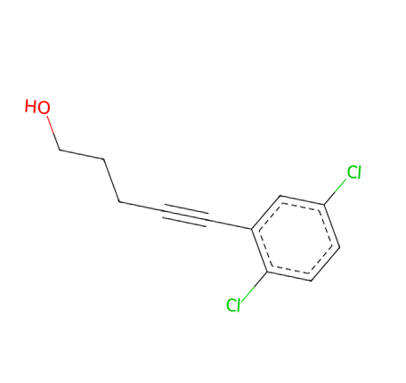 OCCCC#Cc1cc(Cl)ccc1Cl